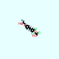 CC(O)(CCl)COc1c(Cl)cc(C(C)(C)c2ccc(OC[C@H](O)CF)cc2)cc1Cl